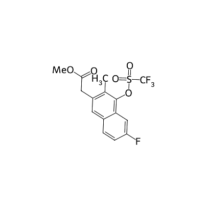 COC(=O)Cc1cc2ccc(F)cc2c(OS(=O)(=O)C(F)(F)F)c1C